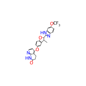 CC1c2cc(Oc3ccnc4c3CCC(=O)N4)ccc2OC1c1nc2ccc(OC(F)(F)F)cc2[nH]1